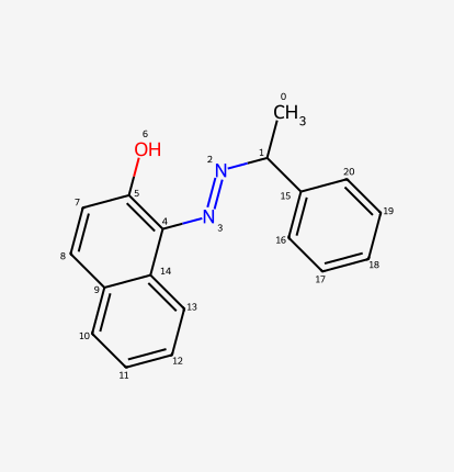 CC(N=Nc1c(O)ccc2ccccc12)c1ccccc1